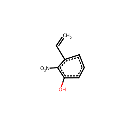 C=Cc1cccc(O)c1[N+](=O)[O-]